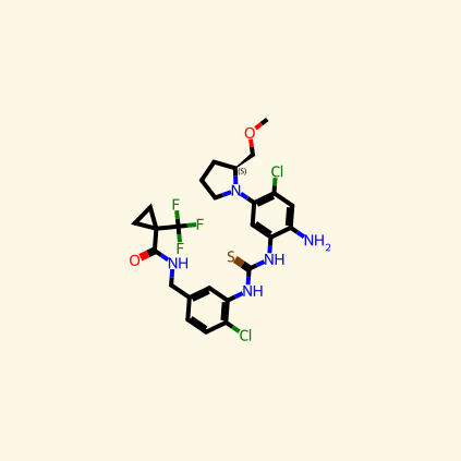 COC[C@@H]1CCCN1c1cc(NC(=S)Nc2cc(CNC(=O)C3(C(F)(F)F)CC3)ccc2Cl)c(N)cc1Cl